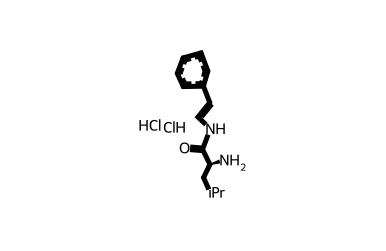 CC(C)C[C@H](N)C(=O)NC=Cc1ccccc1.Cl.Cl